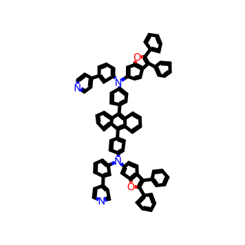 c1ccc(-c2oc3cc(N(c4ccc(-c5c6ccccc6c(-c6ccc(N(c7cccc(-c8ccncc8)c7)c7ccc8c(-c9ccccc9)c(-c9ccccc9)oc8c7)cc6)c6ccccc56)cc4)c4cccc(-c5ccncc5)c4)ccc3c2-c2ccccc2)cc1